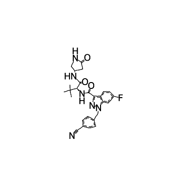 CC(C)(C)[C@H](NC(=O)c1nn(Cc2ccc(C#N)cc2)c2cc(F)ccc12)C(=O)N[C@@H]1CNC(=O)C1